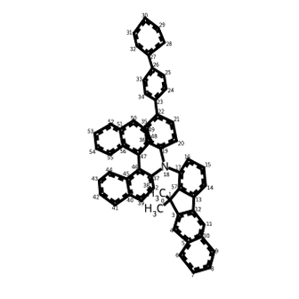 CC1(C)c2cc3ccccc3cc2-c2cccc(N(c3ccc(-c4ccc(-c5ccccc5)cc4)cc3)c3ccc4ccccc4c3-c3cccc4ccccc34)c21